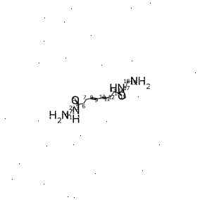 NCCNC(=O)CCC#CC#CCCC(=O)NCCN